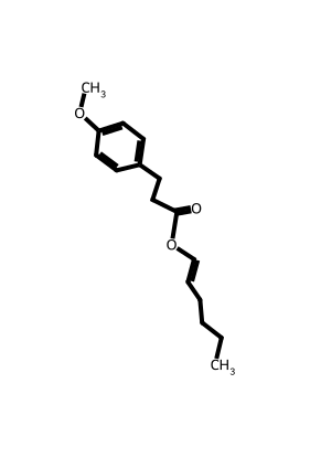 CCCCC=COC(=O)CCc1ccc(OC)cc1